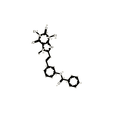 CCn1c(=O)c2c(nc(/C=C/c3cccc(OC(=O)c4ccccc4)c3)n2C)n(CC)c1=O